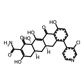 NC(=O)C1=C(O)C[C@@H]2C[C@@H]3Cc4c(-c5ccncc5Cl)ccc(O)c4C(=O)C3=C(O)[C@]2(O)C1=O